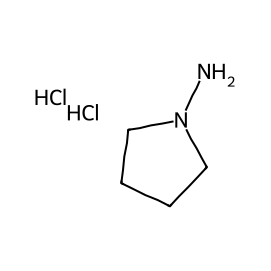 Cl.Cl.NN1CCCC1